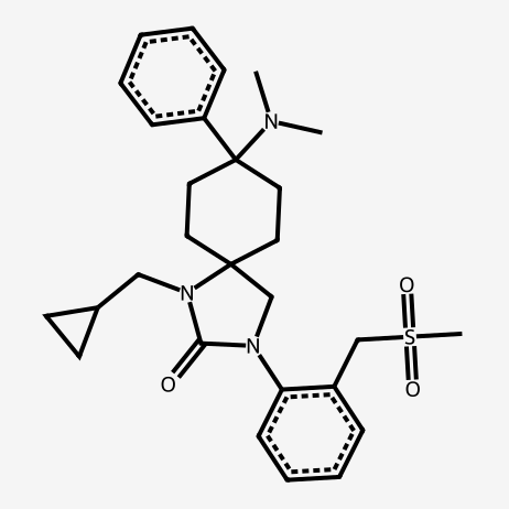 CN(C)C1(c2ccccc2)CCC2(CC1)CN(c1ccccc1CS(C)(=O)=O)C(=O)N2CC1CC1